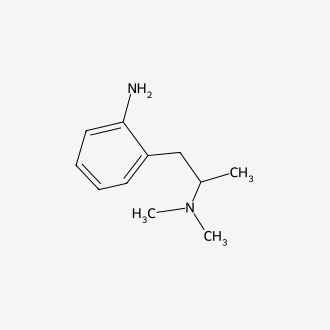 CC(Cc1ccccc1N)N(C)C